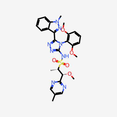 COc1cccc(OC)c1-n1c(NS(=O)(=O)[C@@H](C)[C@H](OC)c2ncc(C)cn2)nnc1-c1nn(C)c2ccccc12